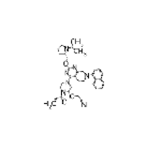 C=CC(=O)N1CCN(c2nc(OC[C@@H]3CCCN3C(C)C)nc3c2CCN(c2cccc4ccccc24)C3)CC1OCC#N